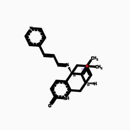 C/C=C1\[C@H]2C=C(C)C[C@]1(N=CC=Cc1ccncc1)c1ccc(=O)[nH]c1C2